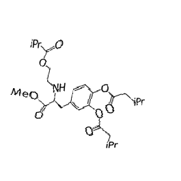 COC(=O)[C@H](Cc1ccc(OC(=O)CC(C)C)c(OC(=O)CC(C)C)c1)NCCOC(=O)C(C)C